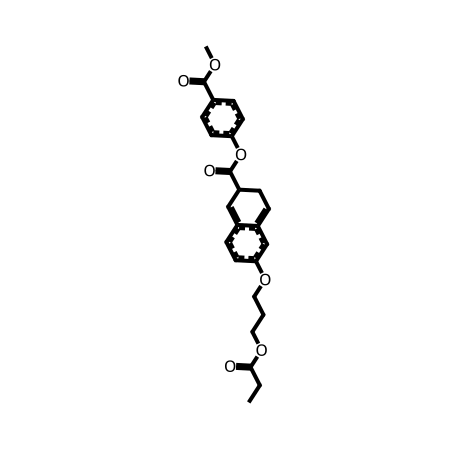 CCC(=O)OCCCOc1ccc2c(c1)=CCC(C(=O)Oc1ccc(C(=O)OC)cc1)C=2